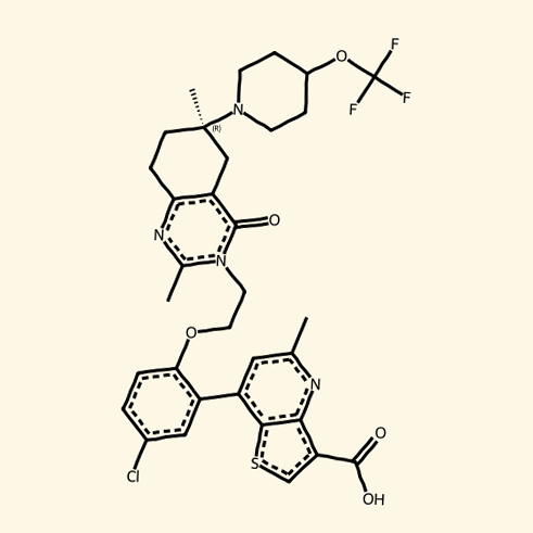 Cc1cc(-c2cc(Cl)ccc2OCCn2c(C)nc3c(c2=O)C[C@](C)(N2CCC(OC(F)(F)F)CC2)CC3)c2scc(C(=O)O)c2n1